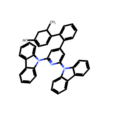 CC1CC(C#N)=CC=C1c1ccccc1-c1cc(-n2c3ccccc3c3ccccc32)nc(-n2c3ccccc3c3ccccc32)c1